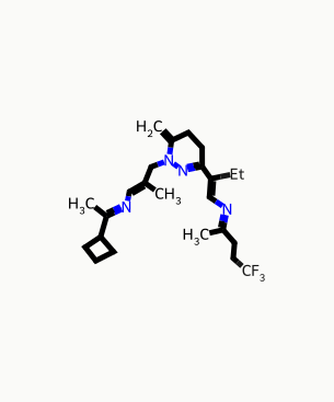 C=C1CCC(/C(=C/N=C(\C)CCC(F)(F)F)CC)=NN1C/C(C)=C/N=C(\C)C1CCC1